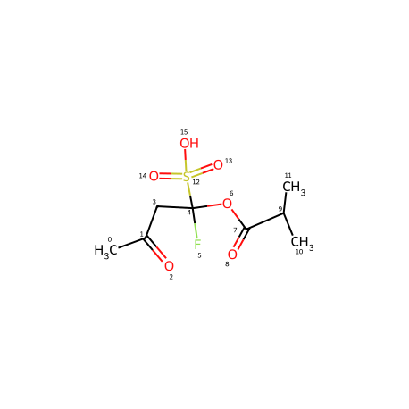 CC(=O)CC(F)(OC(=O)C(C)C)S(=O)(=O)O